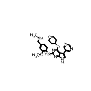 CNCc1ccc(Nc2nc(OC3CCOCC3)c3c(-c4cncnc4)c[nH]c3n2)c(OC)c1